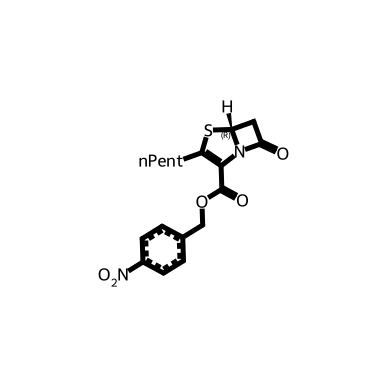 CCCCCC1=C(C(=O)OCc2ccc([N+](=O)[O-])cc2)N2C(=O)C[C@H]2S1